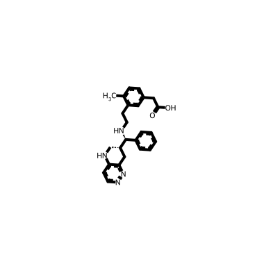 Cc1ccc(CC(=O)O)cc1CCN[C@H](c1ccccc1)[C@H]1CNc2ccnnc2C1